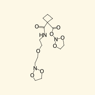 O=C(NCCOCCN1OCCO1)C1(C(=O)ON2OCCO2)CCC1